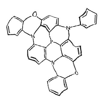 c1ccc(-n2c3ccc4oc5ccccc5n5c6cccc7c6p(c3c45)c3c2ccc2oc4ccccc4n7c23)cc1